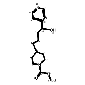 CC(C)(C)OC(=O)N1CCC(CCCC(O)c2ccncc2)CC1